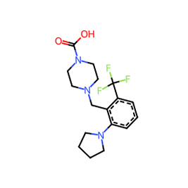 O=C(O)N1CCN(Cc2c(N3CCCC3)cccc2C(F)(F)F)CC1